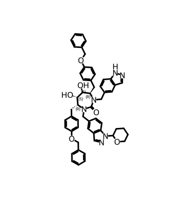 O=C1N(Cc2ccc3[nH]ncc3c2)[C@H](Cc2ccc(OCc3ccccc3)cc2)[C@H](O)[C@@H](O)[C@@H](Cc2ccc(OCc3ccccc3)cc2)N1Cc1ccc2c(cnn2C2CCCCO2)c1